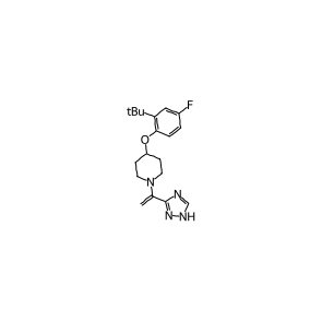 C=C(c1nc[nH]n1)N1CCC(Oc2ccc(F)cc2C(C)(C)C)CC1